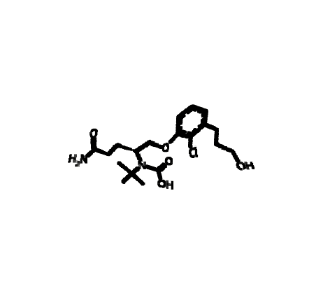 CC(C)(C)N(C(=O)O)[C@@H](CCC(N)=O)COc1cccc(CCCO)c1Cl